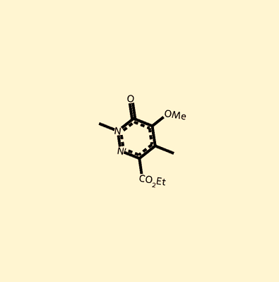 CCOC(=O)c1nn(C)c(=O)c(OC)c1C